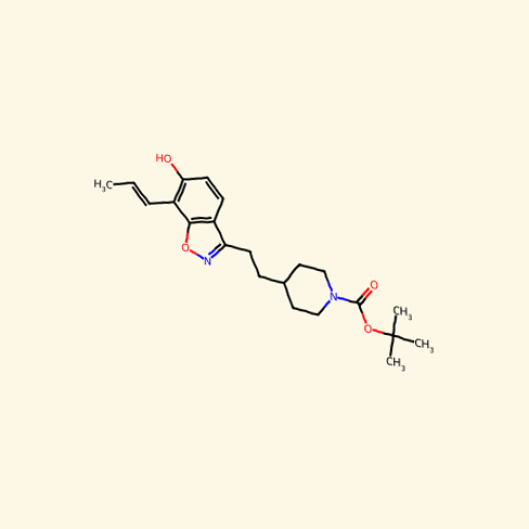 C/C=C/c1c(O)ccc2c(CCC3CCN(C(=O)OC(C)(C)C)CC3)noc12